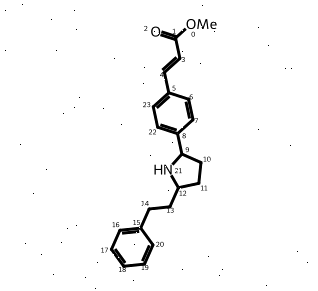 COC(=O)/C=C/c1ccc(C2CCC(CCc3ccccc3)N2)cc1